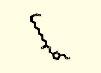 CCCCCCCCC/C=C\CCCCCCCC(=O)OC[C@@H]1CC[C@H](CO)O1